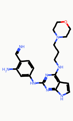 N=Cc1ccc(Nc2nc(NCCCN3CCOCC3)c3cc[nH]c3n2)cc1N